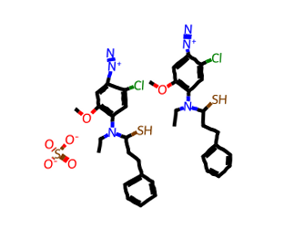 CCN(c1cc(Cl)c([N+]#N)cc1OC)C(S)CCc1ccccc1.CCN(c1cc(Cl)c([N+]#N)cc1OC)C(S)CCc1ccccc1.O=S(=O)([O-])[O-]